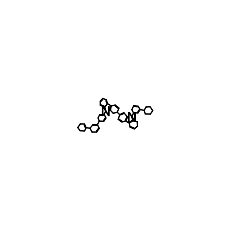 C1=Cc2c(n(C3C=C(C4CCCCC4)C=CC3)c3cc(C4C=Cc5c(n(C6=CCC(C7=CC(C8=CCCCC8)CC=C7)C=C6)c6ccccc56)C4)ccc23)CC1